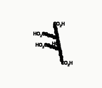 O=C(O)CCOCCOCCOCCOCCN(CCCOCC(O)COCCCN(CCOCCOCCOCCOCCC(=O)O)CCOCCOCCOCCOCCC(=O)O)CCOCCOCCOCCOCCC(=O)O